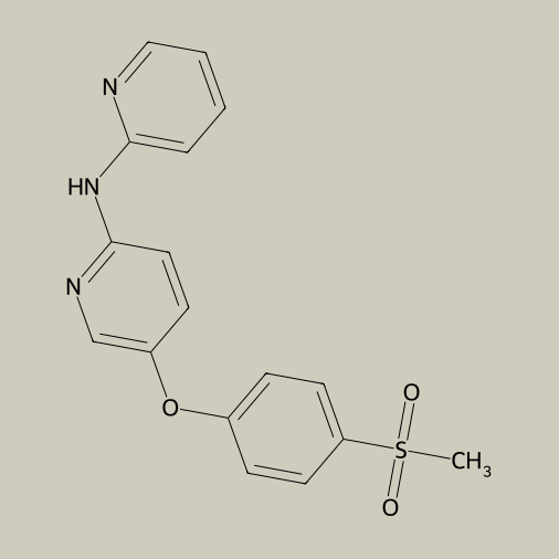 CS(=O)(=O)c1ccc(Oc2ccc(Nc3ccccn3)nc2)cc1